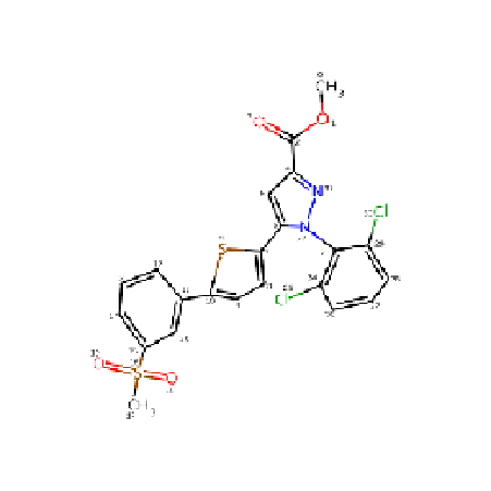 COC(=O)c1cc(-c2ccc(-c3cccc(S(C)(=O)=O)c3)s2)n(-c2c(Cl)cccc2Cl)n1